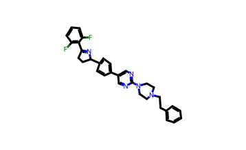 Fc1cccc(F)c1C1=NC(c2ccc(-c3cnc(N4CCN(CCc5ccccc5)CC4)nc3)cc2)CC1